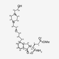 COC(=O)CC[C@@H](C(N)=O)N1Cc2c(CCCOCCN3CCN(CCO)CC3)cccc2C1=O